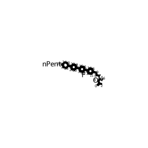 C=C(C)C(=O)N(C)CCCc1ccc(-c2ccc(-c3ccc(C4CCC(CCCCC)CC4)cc3)cc2F)cc1